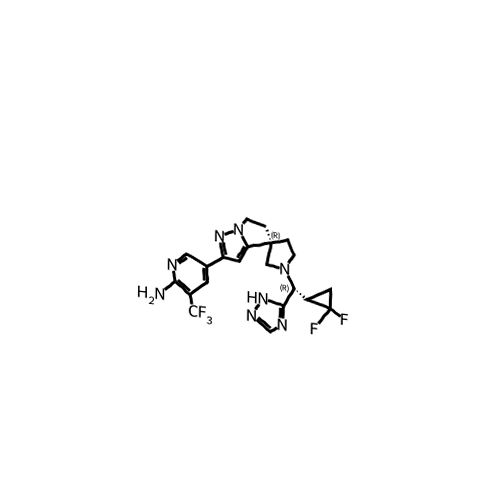 Nc1ncc(-c2cc3n(n2)CC[C@@]32CCN([C@@H](c3ncn[nH]3)C3CC3(F)F)C2)cc1C(F)(F)F